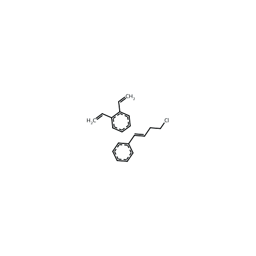 C=Cc1ccccc1C=C.ClCCC=Cc1ccccc1